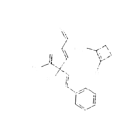 C=CC=CC(C)(C=Cc1ccccc1)C(=C)C(=O)O.CCC1=C(C(=O)O)CC1